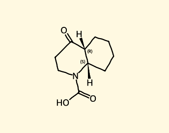 O=C1CCN(C(=O)O)[C@H]2CCCC[C@@H]12